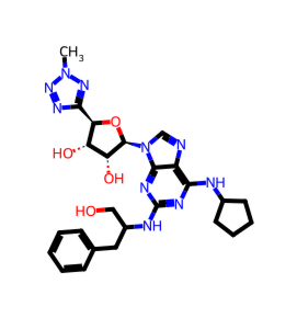 Cn1nnc([C@H]2O[C@@H](n3cnc4c(NC5CCCC5)nc(NC(CO)Cc5ccccc5)nc43)[C@H](O)[C@@H]2O)n1